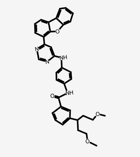 COCCC(CCOC)c1cccc(C(=O)Nc2ccc(Nc3cc(-c4cccc5c4oc4ccccc45)ncn3)cc2)c1